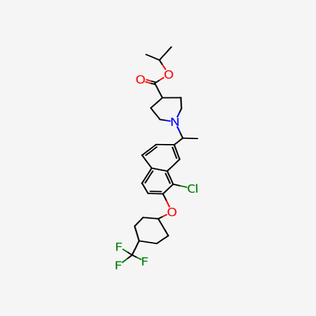 CC(C)OC(=O)C1CCN(C(C)c2ccc3ccc(OC4CCC(C(F)(F)F)CC4)c(Cl)c3c2)CC1